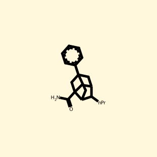 CCCC1C2CC3(c4ccccc4)CC1C(C(N)=O)(C2)C3